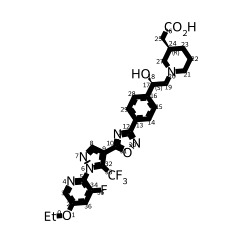 CCOc1cnc(-n2ncc(-c3nc(-c4ccc([C@H](O)CN5CCC[C@H](CC(=O)O)C5)cc4)no3)c2C(F)(F)F)c(F)c1